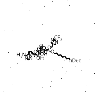 CCCCCCCCCCCCCCCCCCOC[C@H](COP(=O)(O)O[C@H]1O[C@@](C)(c2ccc3c(N)ncnn23)[C@H](O)[C@@H]1O)OCc1cnc(C(F)(F)F)nc1